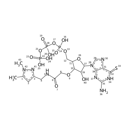 Cc1cc(CNC(=O)COC2C(COP(=O)(O)OP(=O)(O)OP(=O)(O)O)OC(n3cnc4c(=S)[nH]c(N)nc43)C2O)nn1C